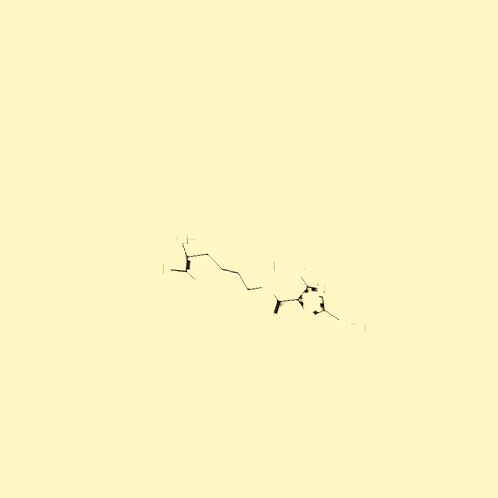 CCCCc1nc(C)c(C(=O)OCCCCC(C)=C(F)F)s1